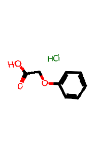 Cl.O=C(O)COc1ccccc1